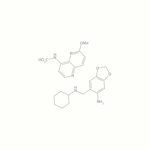 COc1ccc2nccc(NC(=O)O)c2n1.Nc1cc2c(cc1CNC1CCCCC1)OCO2